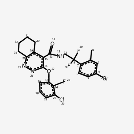 Cc1cc(Br)ccc1C(F)(F)CNC(=O)c1c(Oc2cccc(Cl)c2F)nnc2c1CCCC2